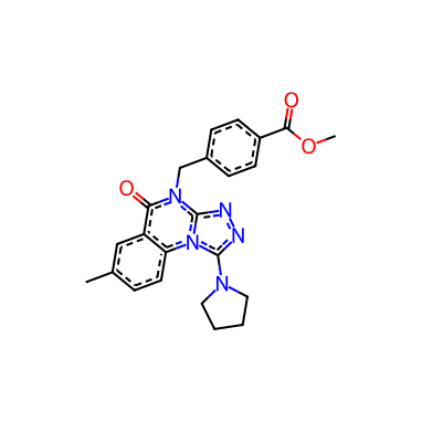 COC(=O)c1ccc(Cn2c(=O)c3cc(C)ccc3n3c(N4CCCC4)nnc23)cc1